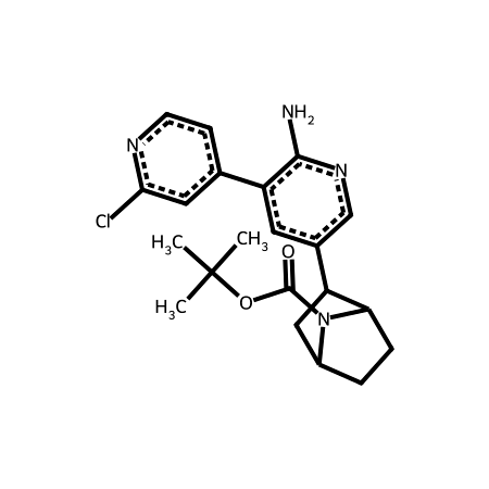 CC(C)(C)OC(=O)N1C2CCC1C(c1cnc(N)c(-c3ccnc(Cl)c3)c1)C2